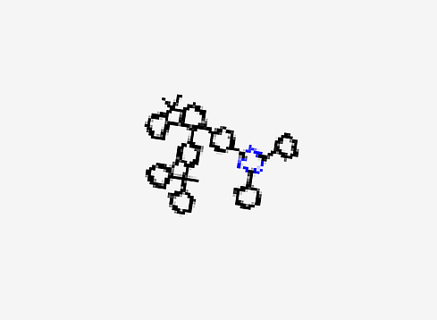 CC1(C)c2ccccc2-c2c1ccc(-c1ccc(-c3nc(-c4ccccc4)nc(-c4ccccc4)n3)cc1)c2-c1ccc2c(c1)-c1ccccc1C2(C)c1ccccc1